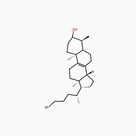 CC(C)CCC[C@@H](C)[C@H]1CC[C@H]2C3=C(CC[C@]12C)[C@@]1(C)CCC(O)[C@@H](C)C1CC3